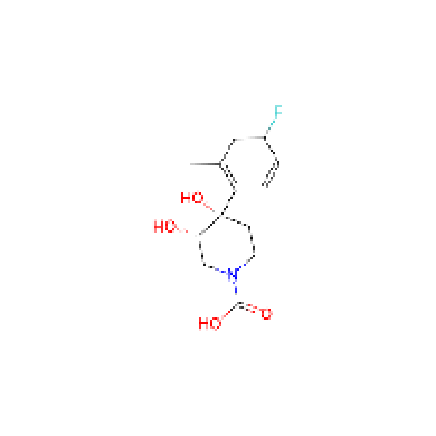 Cc1cc(F)ccc1[C@@]1(O)CCN(C(=O)O)C[C@@H]1O